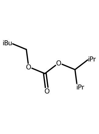 CCC(C)COC(=O)OC(C(C)C)C(C)C